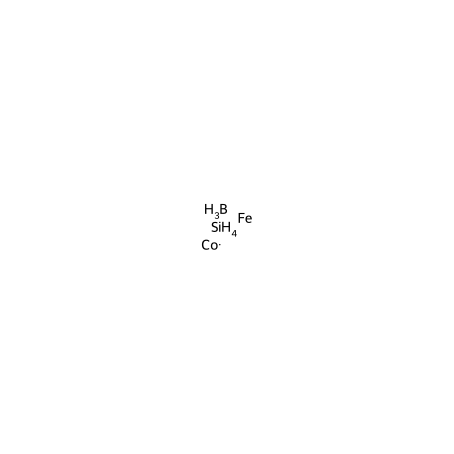 B.[Co].[Fe].[SiH4]